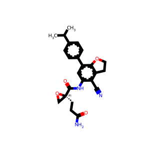 CC(C)c1ccc(-c2cc(NC(=O)[C@@]3(CCC(N)=O)CO3)c(C#N)c3c2OCC3)cc1